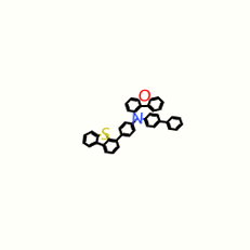 c1ccc(-c2ccc(N(c3ccc(-c4cccc5c4sc4ccccc45)cc3)c3cccc4oc5ccccc5c34)cc2)cc1